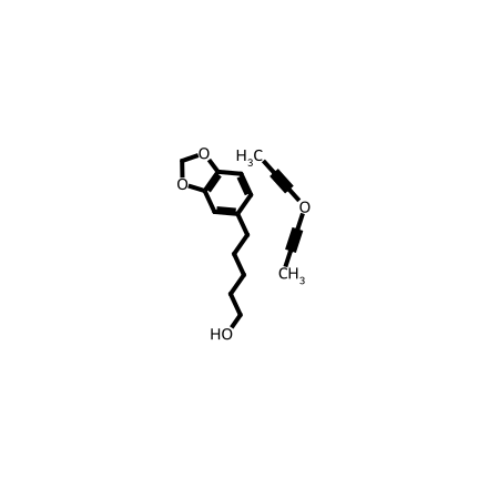 CC#COC#CC.OCCCCCc1ccc2c(c1)OCO2